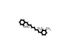 CC1CCCC(CCCCCCCCC2CCCCC2C=O)C1C